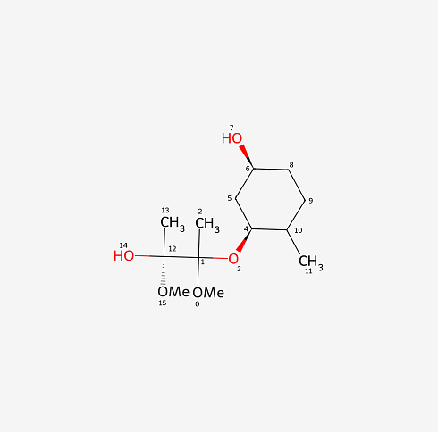 COC(C)(O[C@H]1C[C@@H](O)CCC1C)[C@](C)(O)OC